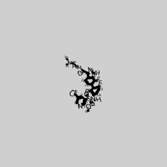 COc1ncc(Cl)cc1S(=O)(=O)Nc1ccc(F)c(-c2ccc3c(C(=O)NCCN(C)C)n[nH]c3c2F)c1F